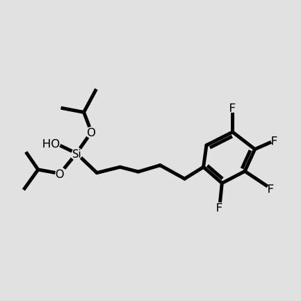 CC(C)O[Si](O)(CCCCCc1cc(F)c(F)c(F)c1F)OC(C)C